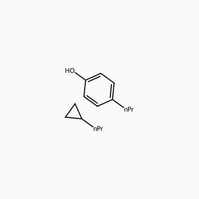 CCCC1CC1.CCCc1ccc(O)cc1